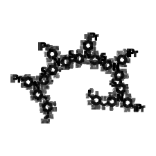 C=Cc1ccc(Cc2ccc(N(c3ccc(C(C)C)cc3)c3ccc4c(c3)sc3cc(N(c5ccc(C(C)C)cc5)c5ccc6c(c5)sc5cc(N(c7ccc(C(C)C)cc7)c7ccc8c(c7)sc7cc(N(c9ccc(C(C)C)cc9)c9ccc%10c(c9)sc9cc(N(c%11ccc(C(C)C)cc%11)c%11cccc(Cc%12ccc(C=C)cc%12)c%11)ccc9%10)ccc78)ccc56)ccc34)cc2)cc1